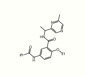 CCOc1ccc(NC(=O)C(C)C)cc1C(=O)NC(C)c1cncc(C)n1